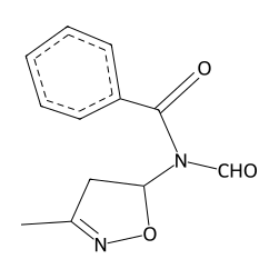 CC1=NOC(N(C=O)C(=O)c2ccccc2)C1